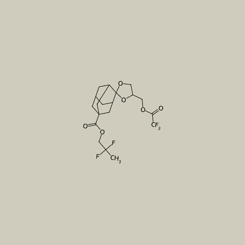 CC(F)(F)COC(=O)C12CC3CC(C1)C1(OCC(COC(=O)C(F)(F)F)O1)C(C3)C2